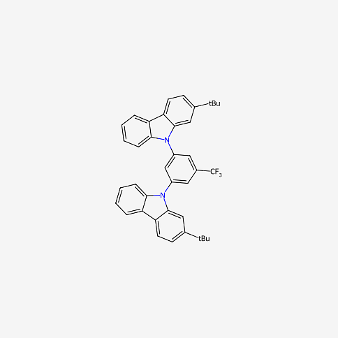 CC(C)(C)c1ccc2c3ccccc3n(-c3cc(-n4c5ccccc5c5ccc(C(C)(C)C)cc54)cc(C(F)(F)F)c3)c2c1